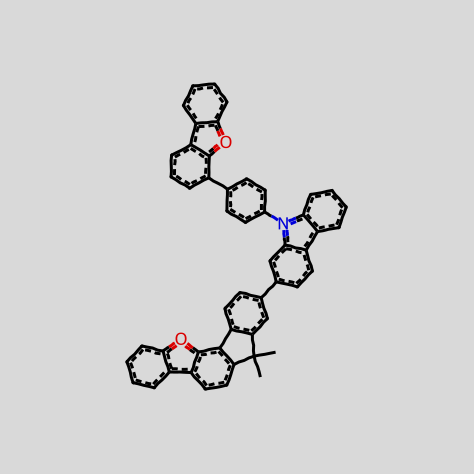 CC1(C)c2cc(-c3ccc4c5ccccc5n(-c5ccc(-c6cccc7c6oc6ccccc67)cc5)c4c3)ccc2-c2c1ccc1c2oc2ccccc21